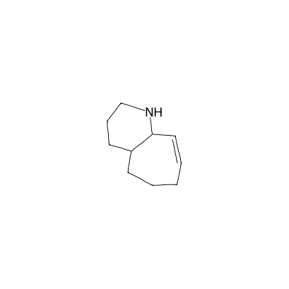 C1=CC2NCCCC2CCC1